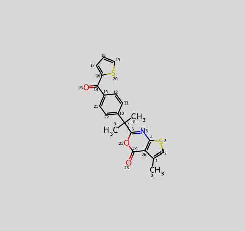 Cc1csc2nc(C(C)(C)c3ccc(C(=O)c4cccs4)cc3)oc(=O)c12